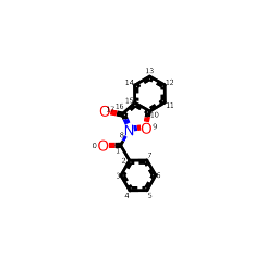 O=C(c1ccccc1)n1oc2ccccc2c1=O